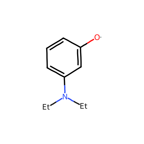 CCN(CC)c1cccc([O])c1